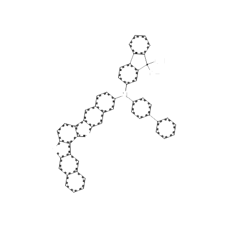 CC1(C)c2ccccc2-c2ccc(N(c3ccc(-c4ccccc4)cc3)c3ccc4cc5c(cc4c3)sc3c5ccc4sc5cc6ccccc6cc5c43)cc21